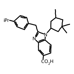 CC1CC(n2c(Cc3ccc(C(C)C)cc3)nc3cc(C(=O)O)ccc32)CC(C)(C)C1